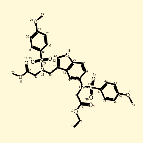 CCOC(=O)CN(c1ccc2scc(CN(CC(=O)OC)S(=O)(=O)c3ccc(OC)cc3)c2c1)S(=O)(=O)c1ccc(OC)cc1